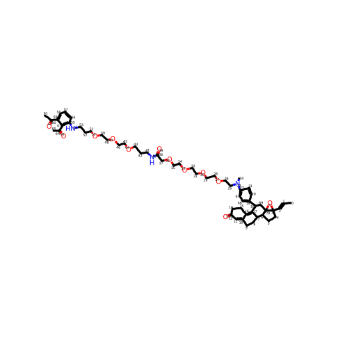 CC#CC12CCC3C4CCC5=CC(=O)CCC5=C4C(c4ccc(N(C)CCOCCOCCOCCOCC(=O)NCCCOCCOCCOCCCNc5cccc(C(C)=O)c5C(C)=O)cc4)CC31O2